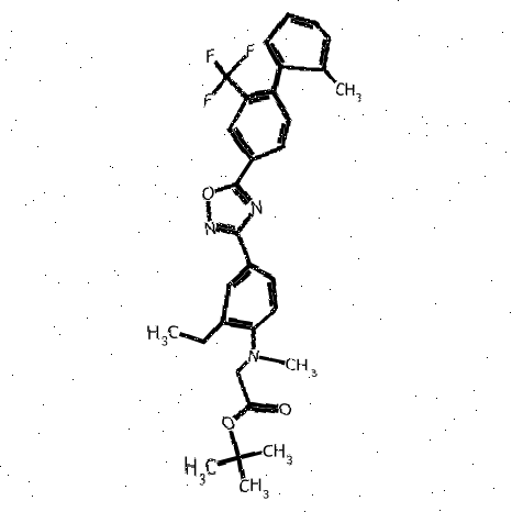 CCc1cc(-c2noc(-c3ccc(-c4ccccc4C)c(C(F)(F)F)c3)n2)ccc1N(C)CC(=O)OC(C)(C)C